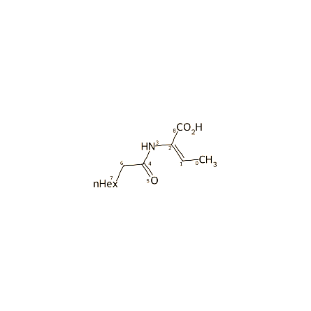 CC=C(NC(=O)CCCCCCC)C(=O)O